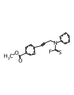 COC(=O)c1ccc(C#CCN(C(F)=S)c2ccccc2)cc1